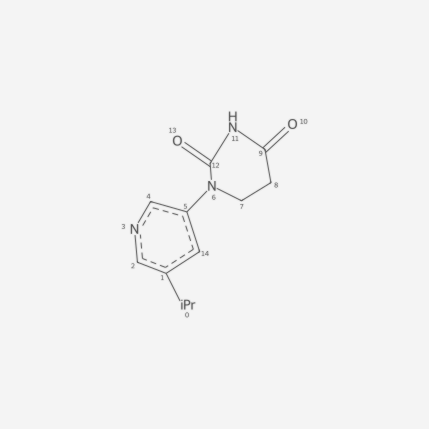 CC(C)c1cncc(N2CCC(=O)NC2=O)c1